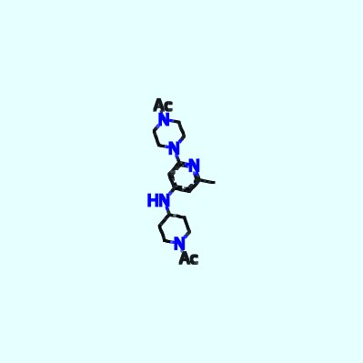 CC(=O)N1CCC(Nc2cc(C)nc(N3CCN(C(C)=O)CC3)c2)CC1